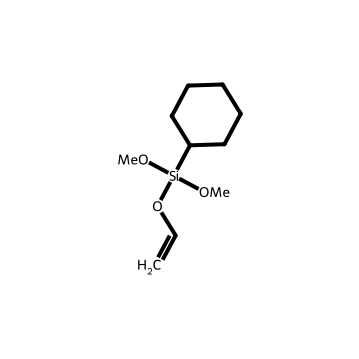 C=CO[Si](OC)(OC)C1CCCCC1